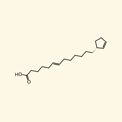 O=C(O)CCCCC=CCCCCCC[C@H]1C=CCC1